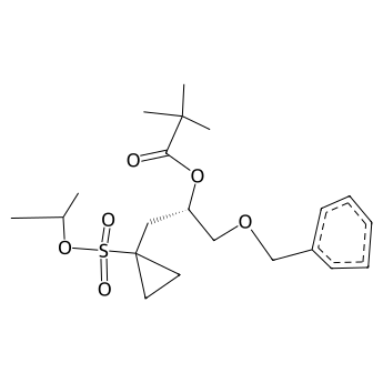 CC(C)OS(=O)(=O)C1(C[C@@H](COCc2ccccc2)OC(=O)C(C)(C)C)CC1